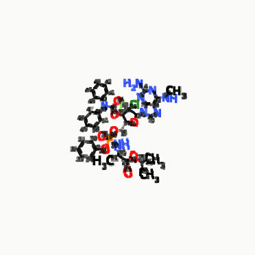 CNc1nc(N)nc2c1ncn2[C@@H]1O[C@H](COP(=O)(N[C@@H](C)C(=O)OC(C)C)Oc2ccccc2)[C@@H](OC(=O)N(c2ccccc2)c2ccccc2)[C@]1(F)Cl